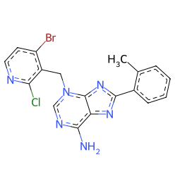 Cc1ccccc1-c1nc2c(N)ncn(Cc3c(Br)ccnc3Cl)c-2n1